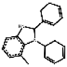 Cc1cccc2c1N(C1C=CC=CC1)C(C1=CC=CCC1)N2